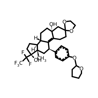 C[C@]12C[C@H](c3ccc(OC4CCCCO4)cc3)C3=C4CCC5(C[C@]4(O)CC[C@H]3[C@@H]1CC[C@@]2(O)C(F)(F)C(F)(F)F)OCCO5